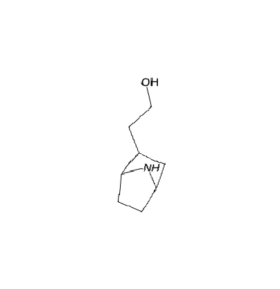 OCCC1CC2CCC1N2